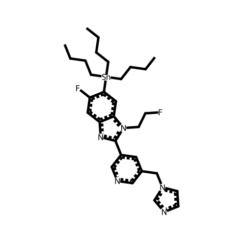 CCC[CH2][Sn]([CH2]CCC)([CH2]CCC)[c]1cc2c(cc1F)nc(-c1cncc(Cn3ccnc3)c1)n2CCF